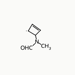 CN(C=O)C1[CH]C=C1